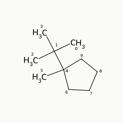 CC(C)(C)C1(C)CCCC1